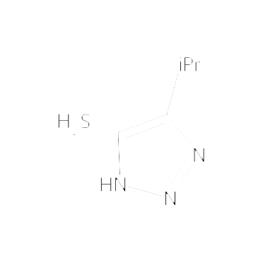 CC(C)c1c[nH]nn1.S